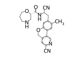 Cc1cc2c(cc1CC(C#N)NC(=O)[C@@H]1CNCCCO1)OCc1cc(C#N)ncc1-2